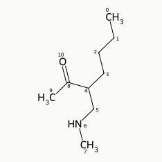 CCCCC(CNC)C(C)=O